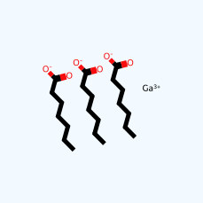 CCCCCCC(=O)[O-].CCCCCCC(=O)[O-].CCCCCCC(=O)[O-].[Ga+3]